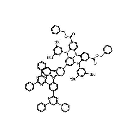 CC(C)(C)c1cc(N2c3cc(C(=O)OCc4ccccc4)ccc3B3c4ccc(C(=O)OCc5ccccc5)cc4N(c4cc(C(C)(C)C)cc(C(C)(C)C)c4)c4cc(-c5ccc6c(c5)c5ccccc5n6-c5ccc(-c6nc(-c7ccccc7)cc(-c7ccccc7)n6)cc5-c5nc(-c6ccccc6)nc(-c6ccccc6)n5)cc2c43)cc(C(C)(C)C)c1